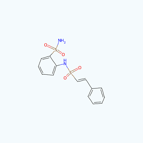 NS(=O)(=O)c1ccccc1NS(=O)(=O)C=Cc1ccccc1